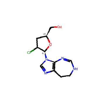 OC[C@@H]1CC(Cl)[C@H](n2cnc3c2N=CNCC3)O1